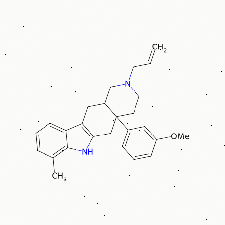 C=CCN1CCC2(c3cccc(OC)c3)Cc3[nH]c4c(C)cccc4c3CC2C1